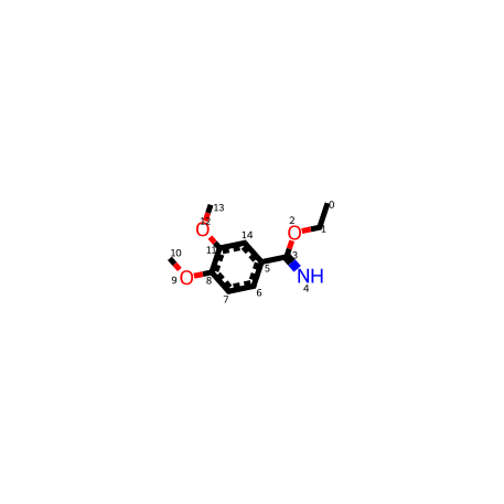 CCOC(=N)c1ccc(OC)c(OC)c1